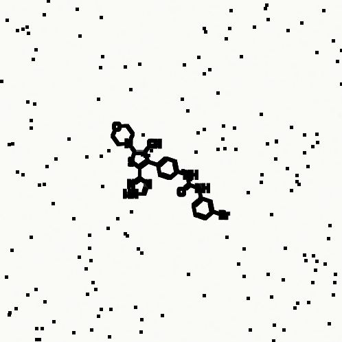 N#Cc1c(N2CCOCC2)sc(-c2nc[nH]n2)c1-c1ccc(NC(=O)Nc2cccc(Br)c2)cc1